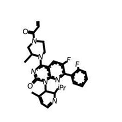 C=CC(=O)N1CCN(c2nc(=O)n(C3C(C)=CC=NC3C(C)C)c3nc(-c4ccccc4F)c(F)cc23)C(C)C1